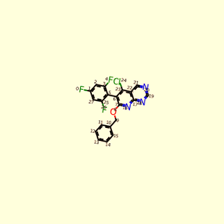 Fc1cc(F)c(-c2c(OCc3ccccc3)nc3ncncc3c2Cl)c(F)c1